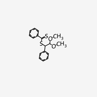 COC(OC)C(SC(=S)c1ccccc1)c1ccccc1